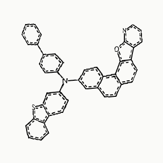 c1ccc(-c2ccc(N(c3ccc4c(ccc5ccc6c7cccnc7oc6c54)c3)c3ccc4c(c3)sc3ccccc34)cc2)cc1